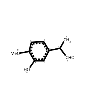 COc1ccc(C(C)[13CH]=O)cc1O